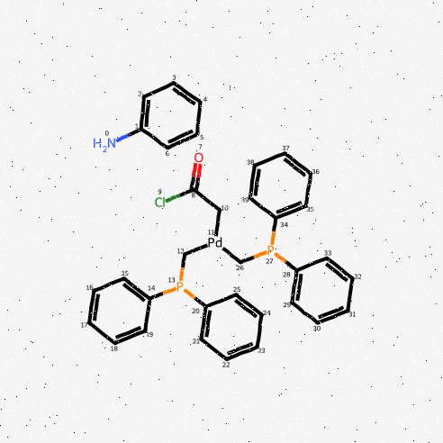 Nc1ccccc1.O=C(Cl)[CH2][Pd]([CH2]P(c1ccccc1)c1ccccc1)[CH2]P(c1ccccc1)c1ccccc1